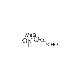 COc1cc(OCCCC=O)ccc1CNc1ccccc1